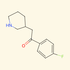 O=C(CC1CCCNC1)c1ccc(F)cc1